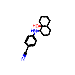 N#Cc1ccc(NC2CCCC3CCCCC32O)cc1